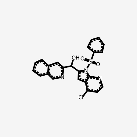 O=S(=O)(c1ccccc1)n1c(C(O)c2cc3ccccc3cn2)cc2c(Cl)ccnc21